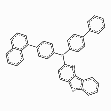 c1ccc(-c2ccc(N(c3ccc(-c4cccc5ccccc45)cc3)c3ccc4sc5ccccc5c4n3)cc2)cc1